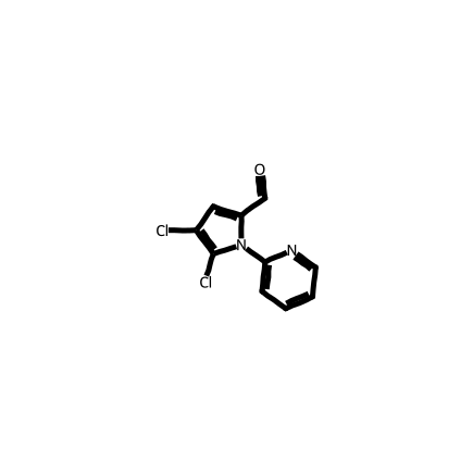 O=Cc1cc(Cl)c(Cl)n1-c1ccccn1